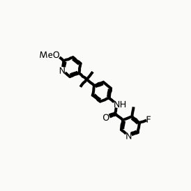 COc1ccc(C(C)(C)c2ccc(NC(=O)c3cncc(F)c3C)cc2)cn1